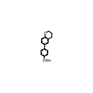 COc1ccc(-c2ccc3c(c2)CCCO3)cc1